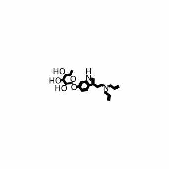 C=CCN(CC=C)CCc1c[nH]c2cc(OC3OC(C)C(O)C(O)C3O)ccc12